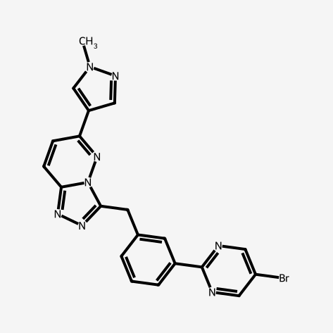 Cn1cc(-c2ccc3nnc(Cc4cccc(-c5ncc(Br)cn5)c4)n3n2)cn1